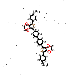 CC(C)(C)c1ccc(-c2sc(-c3ccc(-c4ccc(-c5sc(-c6ccc(C(C)(C)C)cc6)c6c5OCCO6)cc4)cc3)c3c2OCCO3)cc1